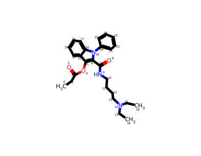 CCC(=O)Oc1c(C(=O)NCCCCN(CC)CC)n(-c2ccccc2)c2ccccc12